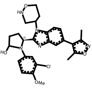 COc1ccc(N2C(O)CC[C@H]2c2nc3cc(-c4c(C)noc4C)ccc3n2C2CCONC2)cc1Cl